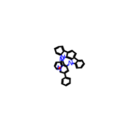 N#Cc1ncc(-c2ccccc2)cc1-n1c2ccccc2c2ccc3c4ccccc4n(-c4ccccc4)c3c21